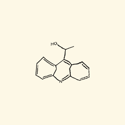 CC(O)c1c2ccccc2nc2ccccc12